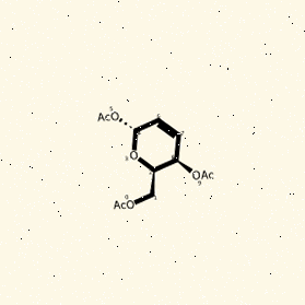 CC(=O)OC[C@H]1O[C@H](OC(C)=O)C=C[C@H]1OC(C)=O